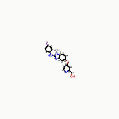 Cn1c(Nc2ccc(I)cc2)nc2cc(Oc3ccnc(CO)c3)ccc21